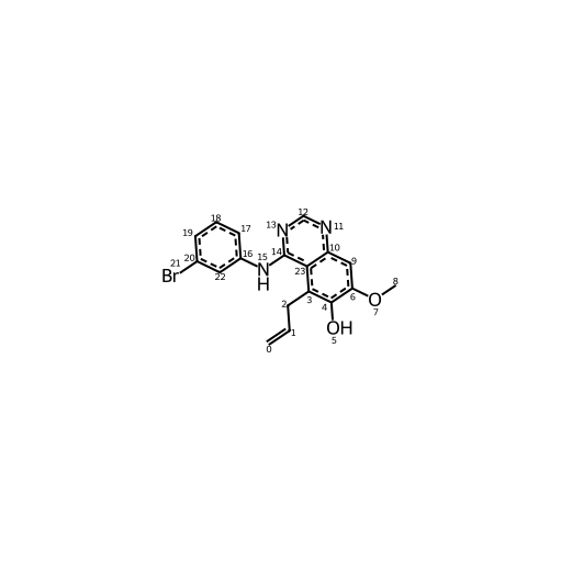 C=CCc1c(O)c(OC)cc2ncnc(Nc3cccc(Br)c3)c12